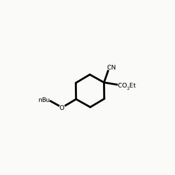 CCCCOC1CCC(C#N)(C(=O)OCC)CC1